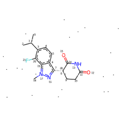 CC(C)c1ccc2c([C@H]3CCC(=O)NC3=O)nn(C)c2c1F